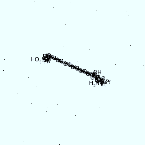 CCCN(OCC)C(=O)C1=Cc2ccc(N3C(=O)N(CCOCCOCCOCCOCCOCCOCCOCCOCCOCCOCCC(=O)Oc4c(F)c(F)c(S(=O)(=O)O)c(F)c4F)CC3O)cc2N=C(N)C1